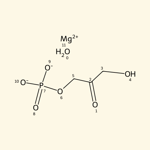 O.O=C(CO)COP(=O)([O-])[O-].[Mg+2]